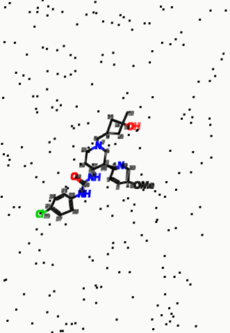 COc1ccc([C@@H]2CN(CC3CC(C)(O)C3)CC[C@H]2NC(=O)Nc2ccc(Cl)cc2)nc1